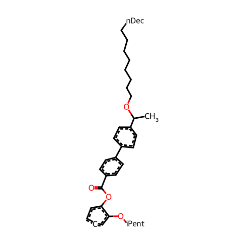 CCCCCCCCCCCCCCCCCCOC(C)c1ccc(-c2ccc(C(=O)Oc3ccccc3OC(C)CCC)cc2)cc1